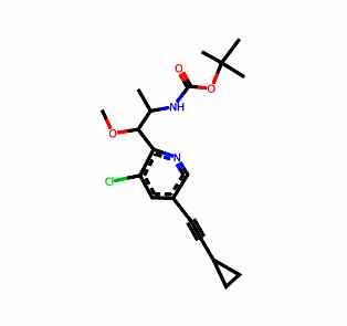 COC(c1ncc(C#CC2CC2)cc1Cl)C(C)NC(=O)OC(C)(C)C